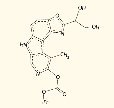 Cc1c(OC(=O)OC(C)C)ncc2[nH]c3ccc4oc(C(O)CO)nc4c3c12